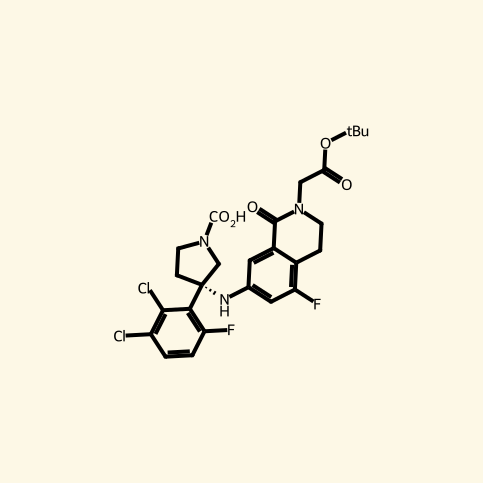 CC(C)(C)OC(=O)CN1CCc2c(F)cc(N[C@]3(c4c(F)ccc(Cl)c4Cl)CCN(C(=O)O)C3)cc2C1=O